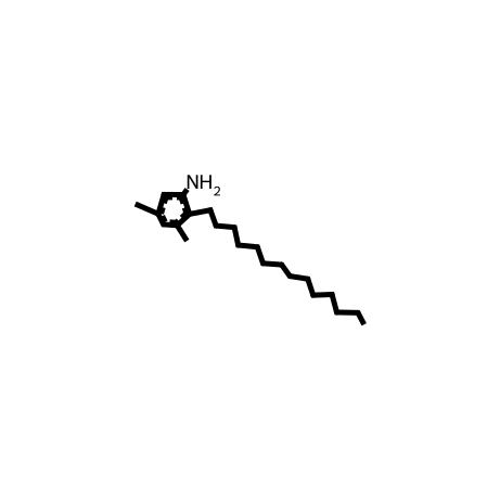 CCCCCCCCCCCCCCc1c(C)cc(C)cc1N